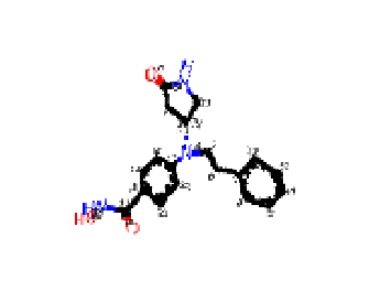 O=C1C[C@@H](N(CCc2ccccc2)c2ccc(C(=O)NO)cc2)CN1